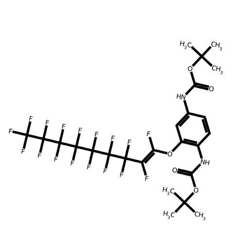 CC(C)(C)OC(=O)Nc1ccc(NC(=O)OC(C)(C)C)c(OC(F)=C(F)C(F)(F)C(F)(F)C(F)(F)C(F)(F)C(F)(F)C(F)(F)C(F)(F)F)c1